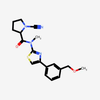 COCc1cccc(-c2csc(N(C)C(=O)C3CCCN3C#N)n2)c1